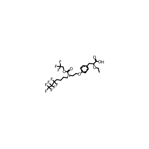 CCOC(Cc1ccc(OCCN(CCCCC(F)(F)C(F)(F)C(F)(F)F)C(=O)OCC(F)(F)F)cc1)C(=O)O